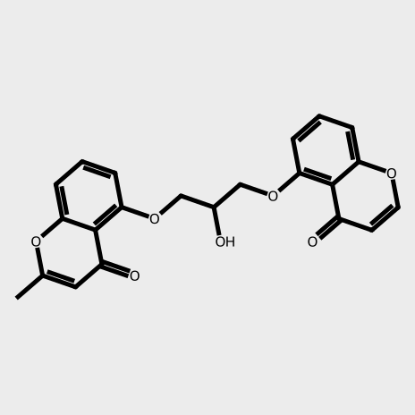 Cc1cc(=O)c2c(OCC(O)COc3cccc4occc(=O)c34)cccc2o1